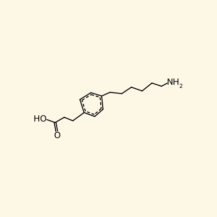 NCCCCCCc1ccc(CCC(=O)O)cc1